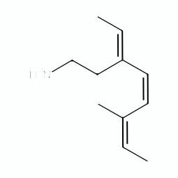 C\C=C(C)/C=C\C(=C\C)CCN